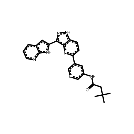 CC(C)(C)CC(=O)Nc1cncc(-c2ccc3[nH]nc(-c4cc5cccnc5[nH]4)c3n2)c1